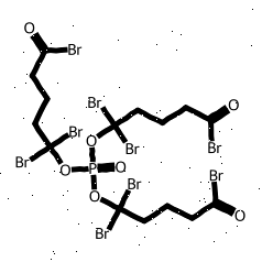 O=C(Br)CCCC(Br)(Br)OP(=O)(OC(Br)(Br)CCCC(=O)Br)OC(Br)(Br)CCCC(=O)Br